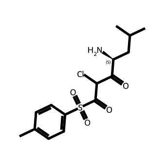 Cc1ccc(S(=O)(=O)C(=O)C(Cl)C(=O)[C@@H](N)CC(C)C)cc1